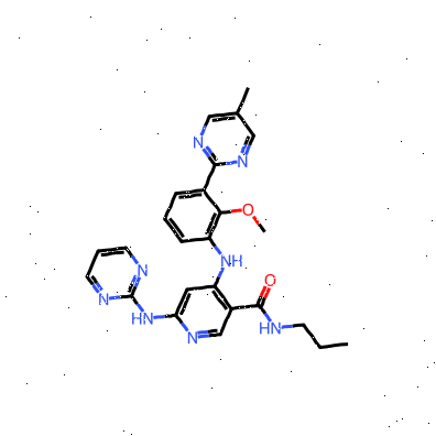 CCCNC(=O)c1cnc(Nc2ncccn2)cc1Nc1cccc(-c2ncc(C)cn2)c1OC